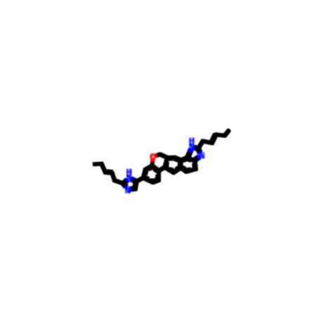 CCC=CCc1ncc(-c2ccc3c(c2)OCc2cc4c(ccc5nc(CC=CCC)[nH]c54)cc2-3)[nH]1